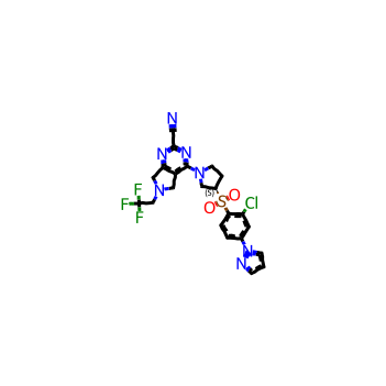 N#Cc1nc2c(c(N3CC[C@H](S(=O)(=O)c4ccc(-n5cccn5)cc4Cl)C3)n1)CN(CC(F)(F)F)C2